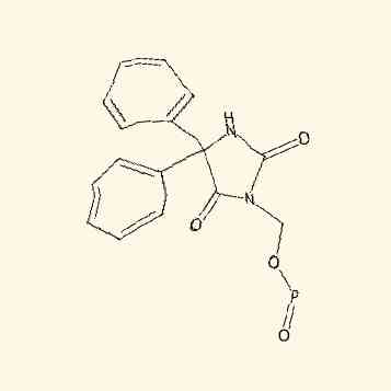 O=POCN1C(=O)NC(c2ccccc2)(c2ccccc2)C1=O